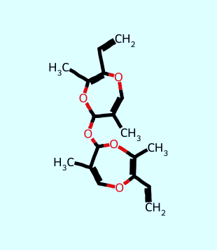 C=CC1=C(C)OC(OC2OC(C)=C(C=C)OC=C2C)C(C)=CO1